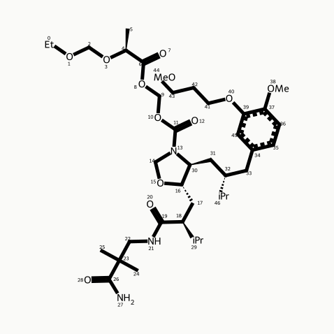 CCOCO[C@@H](C)C(=O)OCOC(=O)N1CO[C@@H](C[C@H](C(=O)NCC(C)(C)C(N)=O)C(C)C)[C@@H]1C[C@H](Cc1ccc(OC)c(OCCCOC)c1)C(C)C